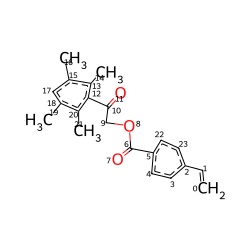 C=Cc1ccc(C(=O)OCC(=O)c2c(C)c(C)cc(C)c2C)cc1